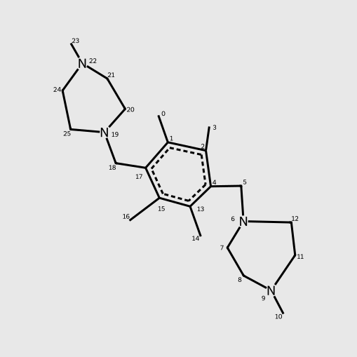 Cc1c(C)c(CN2CCN(C)CC2)c(C)c(C)c1CN1CCN(C)CC1